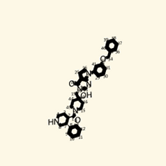 O=C([C@@H]1CCNC[C@H]1c1ccccc1)N1CCC(O)(Cn2cnc3c(ccn3-c3cccc(OCc4ccccc4)c3)c2=O)CC1